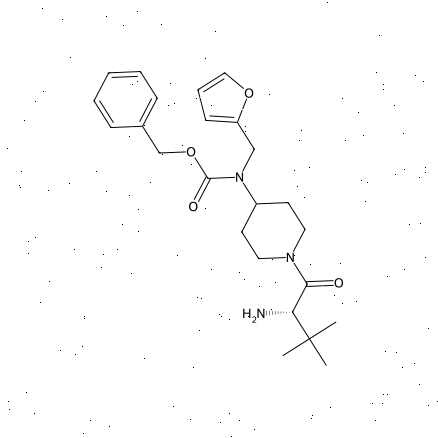 CC(C)(C)[C@H](N)C(=O)N1CCC(N(Cc2ccco2)C(=O)OCc2ccccc2)CC1